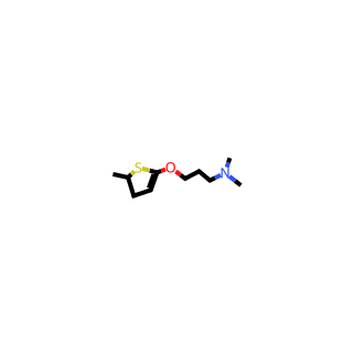 CC1CC=C(OCCCN(C)C)S1